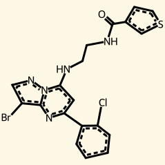 O=C(NCCNc1cc(-c2ccccc2Cl)nc2c(Br)cnn12)c1ccsc1